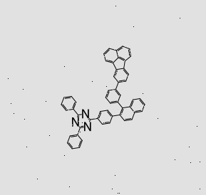 c1ccc(-c2nc(-c3ccccc3)nc(-c3ccc(-c4ccc5ccccc5c4-c4cccc(-c5ccc6c(c5)-c5cccc7cccc-6c57)c4)cc3)n2)cc1